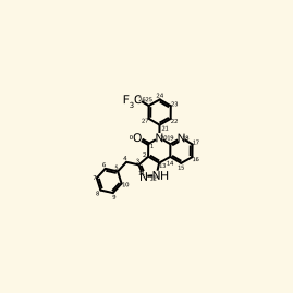 O=c1c2c(Cc3ccccc3)n[nH]c2c2cccnc2n1-c1cccc(C(F)(F)F)c1